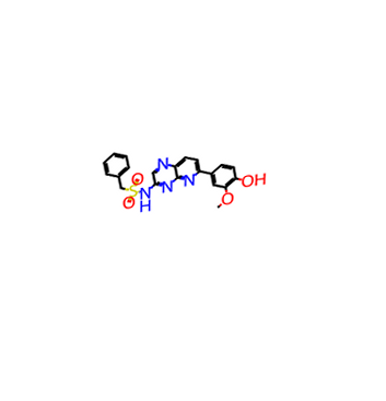 COc1cc(-c2ccc3ncc(NS(=O)(=O)Cc4ccccc4)nc3n2)ccc1O